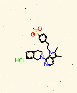 Cc1c(C)n(CCc2ccc(S(C)(=O)=O)cc2)c2c(N3CCc4ccccc4C3)nccc12.Cl